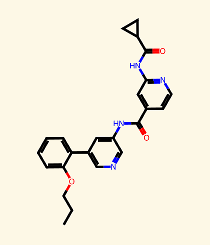 CCCOc1ccccc1-c1cncc(NC(=O)c2ccnc(NC(=O)C3CC3)c2)c1